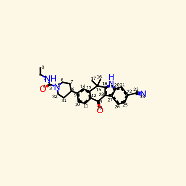 CCNC(=O)N1CCC(c2ccc3c(c2)C(C)(C)c2[nH]c4cc(C#N)ccc4c2C3=O)CC1